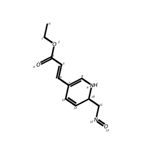 CCOC(=O)/C=C/C1=CNC(CN=O)C=C1